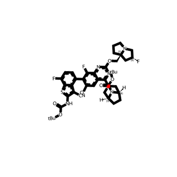 CC(C)(C)OC(=O)Nc1sc2c(F)ccc(-c3c(Cl)cc4c(N5C[C@H]6CC[C@@H](C5)N6C(=O)OC(C)(C)C)nc(OC[C@@]56CCCN5C[C@H](F)C6)nc4c3F)c2c1C#N